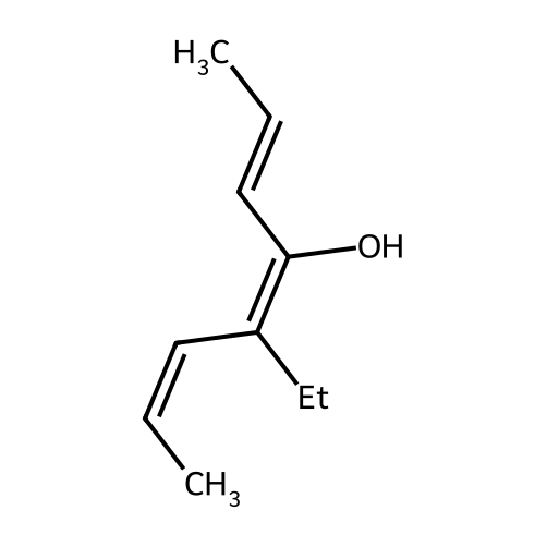 C\C=C/C(CC)=C(O)\C=C\C